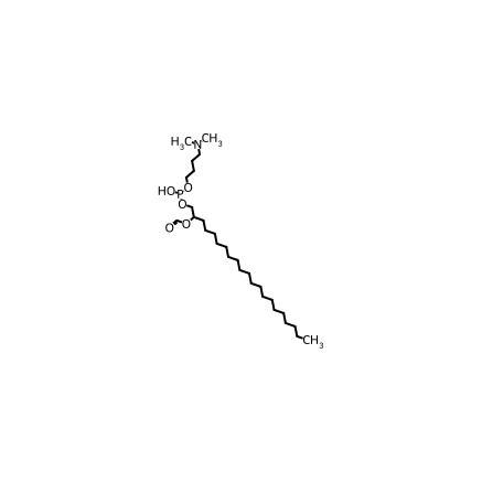 CCCCCCCCCCCCCCCCCCCC(COP(O)OCCCCN(C)C)OC=O